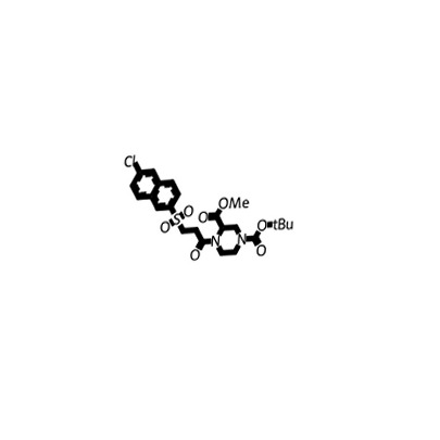 COC(=O)C1CN(C(=O)OC(C)(C)C)CCN1C(=O)CCS(=O)(=O)c1ccc2cc(Cl)ccc2c1